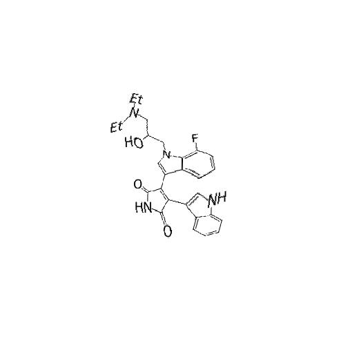 CCN(CC)CC(O)Cn1cc(C2=C(c3c[nH]c4ccccc34)C(=O)NC2=O)c2cccc(F)c21